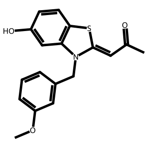 COc1cccc(CN2/C(=C/C(C)=O)Sc3ccc(O)cc32)c1